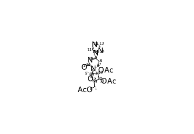 CC(=O)OC[C@H]1O[C@@](C)(n2ccc(-n3cncn3)nc2=O)C(OC(C)=O)C1OC(C)=O